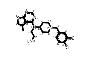 Cc1csc2ncnc(N(CCN)C3CCN(Cc4ccc(Cl)c(Cl)c4)CC3)c12